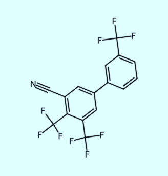 N#Cc1cc(-c2cccc(C(F)(F)F)c2)cc(C(F)(F)F)c1C(F)(F)F